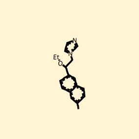 CCOC(Cn1ccnc1)c1ccc2cc(C)ccc2c1